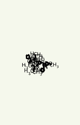 CCCC(NC(=O)C1CC(Oc2cc(-c3ccccc3)nc3cc(OC)ccc23)C=C1C(=O)NC(C(=O)NC(C(=O)OC)C1CCCCC1)C(C)(C)C)C(=O)OC(C)(C)C